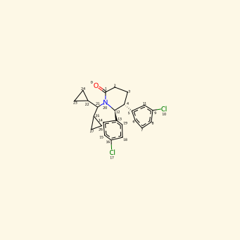 O=C1CC[C@H](c2cccc(Cl)c2)[C@@H](c2ccc(Cl)cc2)N1C(C1CC1)C1CC1